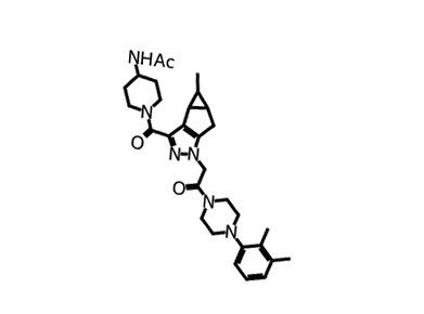 CC(=O)NC1CCN(C(=O)c2nn(CC(=O)N3CCN(c4cccc(C)c4C)CC3)c3c2C2C(C)C2C3)CC1